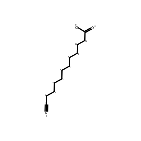 N#CCCCCCCCCCCC(=O)Cl